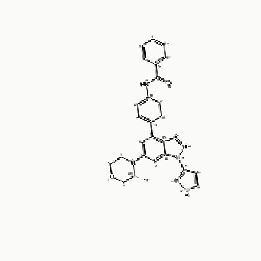 C[C@@H]1COCCN1c1cc(-c2ccc(NC(=O)c3ccccc3)cc2)c2cnn(-c3cc[nH]n3)c2n1